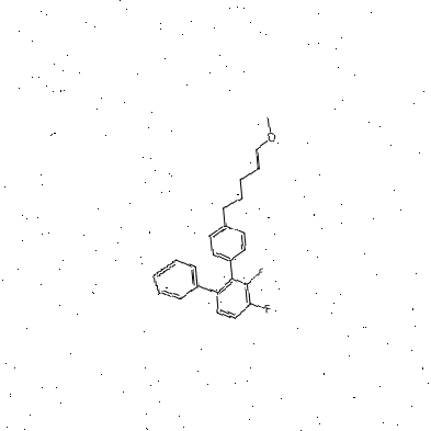 COCCCCCc1ccc(-c2c(-c3ccccc3)ccc(F)c2F)cc1